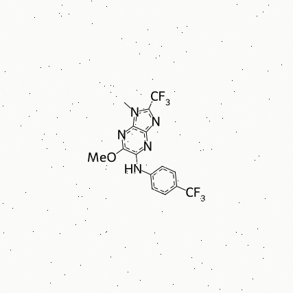 COc1nc2c(nc1Nc1ccc(C(F)(F)F)cc1)nc(C(F)(F)F)n2C